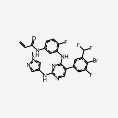 C=CC(=O)Nc1ccc(F)c(Nc2nc(Nc3cnn(C)c3)ncc2-c2cc(F)c(Br)c(C(F)F)c2)c1